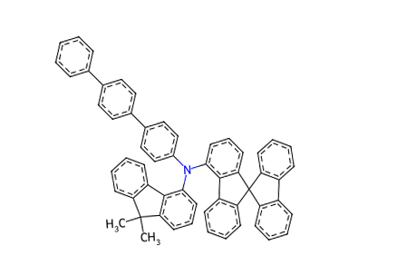 CC1(C)c2ccccc2-c2c(N(c3ccc(-c4ccc(-c5ccccc5)cc4)cc3)c3cccc4c3-c3ccccc3C43c4ccccc4-c4ccccc43)cccc21